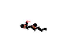 CC(C)=CCCC(C)=CCCC(C)=CCCC(C)=CC(CC(C)=CCCC(C)=CC(CC(C)=CCO)S(=O)(=O)c1ccccc1)S(=O)(=O)c1ccccc1